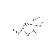 C=C(C)C(=O)OC(C)C([SiH3])(OC)OC